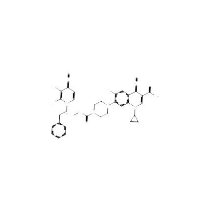 CC1=C(O)C(=C=O)C=CN1[C@H](COC(=O)N1CCN(c2cc3c(cc2F)C(=C=O)C(C(=O)O)=CN3C2CC2)CC1)Cc1ccccc1